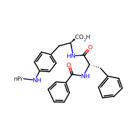 CCCNc1ccc(C[C@H](NC(=O)[C@H](Cc2ccccc2)NC(=O)c2ccccc2)C(=O)O)cc1